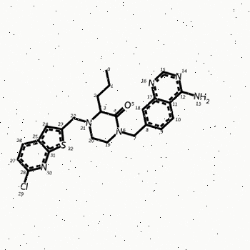 CCCC1C(=O)N(Cc2ccc3c(N)ncnc3c2)CCN1Cc1cc2ccc(Cl)nc2s1